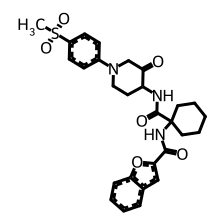 CS(=O)(=O)c1ccc(N2CCC(NC(=O)C3(NC(=O)c4cc5ccccc5o4)CCCCC3)C(=O)C2)cc1